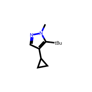 Cn1ncc(C2CC2)c1C(C)(C)C